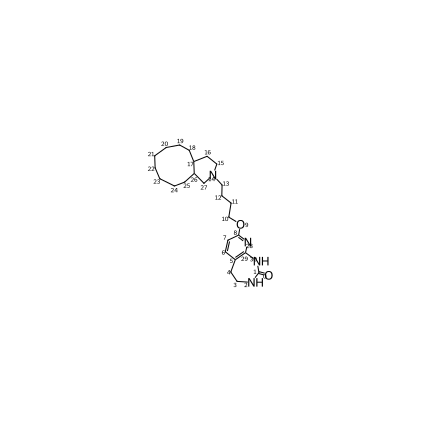 O=C1NCCc2ccc(OCCCCN3CCC4CCCCCCCCC4C3)nc2N1